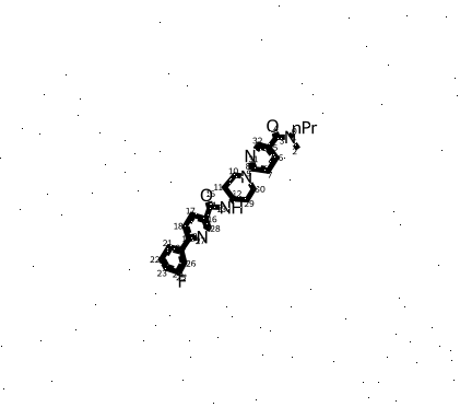 CCCN(C)C(=O)c1ccc(N2CCC(NC(=O)c3ccc(-c4cccc(F)c4)nc3)CC2)nc1